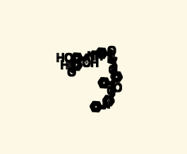 O=C(OCC1CCN(Cc2ccccc2)CC1)C(c1ccccc1)c1cccc(OCC2CN(C(=O)c3ccc(CNC[C@H](O)c4ccc(O)c5[nH]c(=O)ccc45)cc3)C2)c1